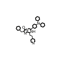 O=c1c(Cc2ccccc2)nc2c(CCc3ccncc3)[nH]c(-c3ccc(N(c4ccccc4)c4ccccc4)cc3)cn1-2